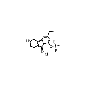 CCC1=CC2=C3CNCCN3C(=O)C2C(OC(F)(F)F)=C1.Cl